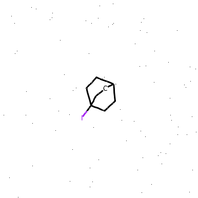 IC12CC[C](CC1)CC2